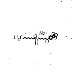 CCCCCCCCC(=O)NCCCCCC(=O)c1ccc(S(=O)(=O)[O-])cc1.[Na+]